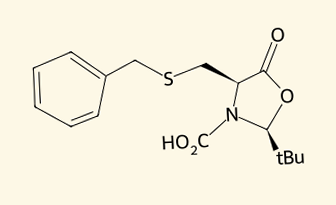 CC(C)(C)[C@@H]1OC(=O)[C@H](CSCc2ccccc2)N1C(=O)O